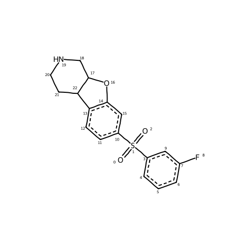 O=S(=O)(c1cccc(F)c1)c1ccc2c(c1)OC1CNCCC21